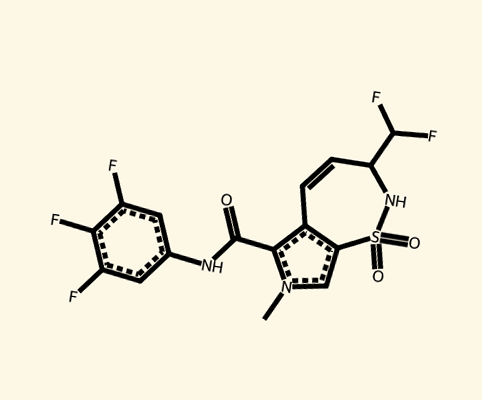 Cn1cc2c(c1C(=O)Nc1cc(F)c(F)c(F)c1)C=CC(C(F)F)NS2(=O)=O